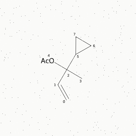 C=CC(C)(OC(C)=O)C1CC1